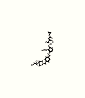 COc1c(CNC(=O)c2cc(C3CC3)nn2C)cccc1OCc1ccc(CN2CCN(S(=O)(=O)CC(C)C)CC2)cc1